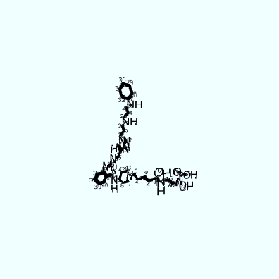 O=C(CCCCN1CCC(Nc2nc(NCc3cn(CCCNCCCNC4CCCCC4)nn3)nc3ccccc23)CC1)NCCN(O)P(O)O